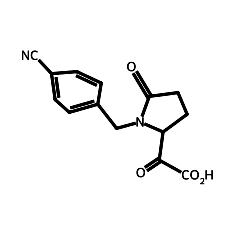 N#Cc1ccc(CN2C(=O)CCC2C(=O)C(=O)O)cc1